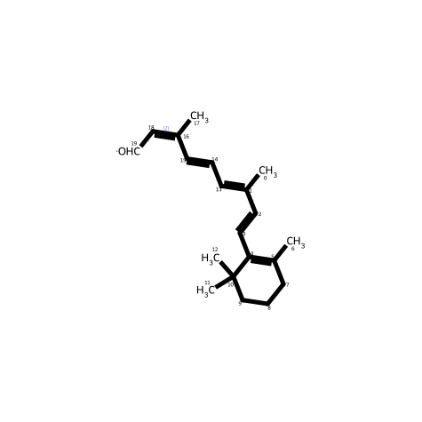 CC(C=CC1=C(C)CCCC1(C)C)=CC=C/C(C)=C\[C]=O